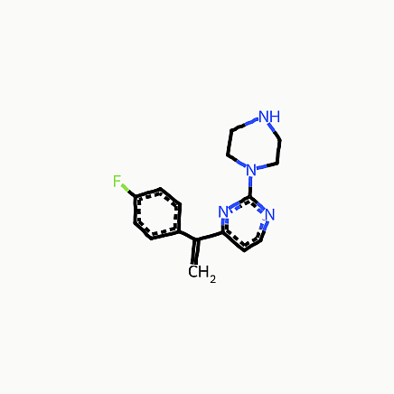 C=C(c1ccc(F)cc1)c1ccnc(N2CCNCC2)n1